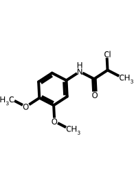 COc1ccc(NC(=O)C(C)Cl)cc1OC